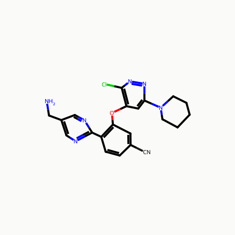 N#Cc1ccc(-c2ncc(CN)cn2)c(Oc2cc(N3CCCCC3)nnc2Cl)c1